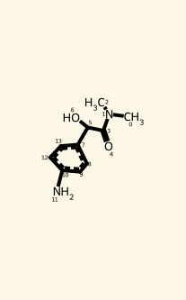 CN(C)C(=O)C(O)c1ccc(N)cc1